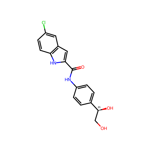 O=C(Nc1ccc([C@@H](O)CO)cc1)c1cc2cc(Cl)ccc2[nH]1